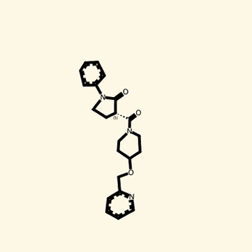 O=C([C@@H]1CCN(c2ccccc2)C1=O)N1CCC(OCc2ccccn2)CC1